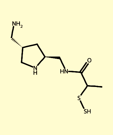 CC(SS)C(=O)NC[C@@H]1C[C@@H](CN)CN1